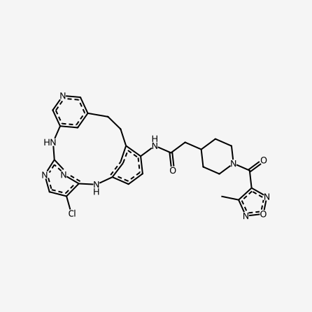 Cc1nonc1C(=O)N1CCC(CC(=O)Nc2ccc3cc2CCc2cncc(c2)Nc2ncc(Cl)c(n2)N3)CC1